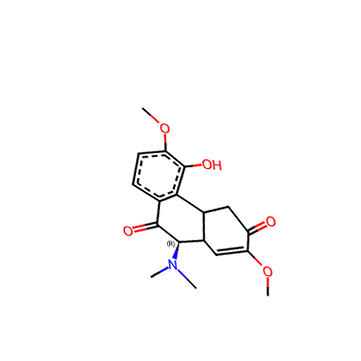 COC1=CC2C(CC1=O)c1c(ccc(OC)c1O)C(=O)[C@@H]2N(C)C